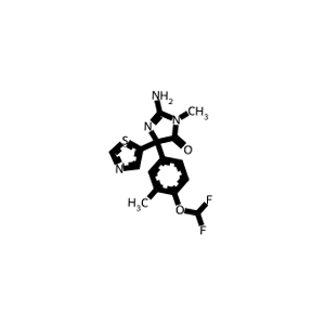 Cc1cc(C2(c3cncs3)N=C(N)N(C)C2=O)ccc1OC(F)F